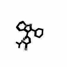 CC(C)n1nc(-c2c(C3=CCCCC3)nn3ccccc23)ccc1=O